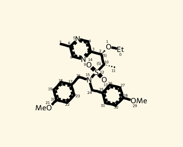 CCO[C@@H](c1cnc(C)cn1)[C@H](C)S(=O)(=O)N(Cc1ccc(OC)cc1)Cc1ccc(OC)cc1